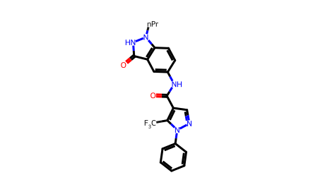 CCCn1[nH]c(=O)c2cc(NC(=O)c3cnn(-c4ccccc4)c3C(F)(F)F)ccc21